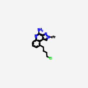 CCCn1cc2c(n1)c(N)nc1cccc(CCCCCl)c12